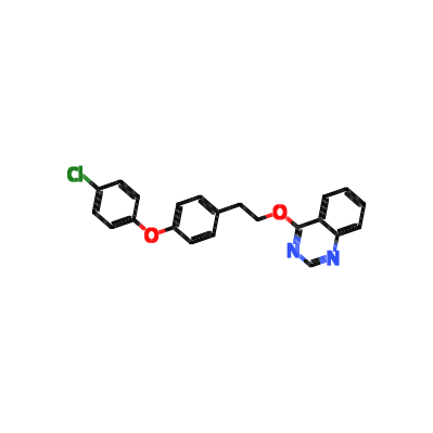 Clc1ccc(Oc2ccc(CCOc3ncnc4ccccc34)cc2)cc1